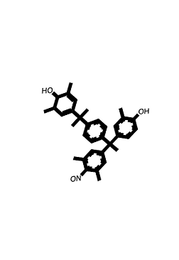 CC1=CC(C(C)(C)c2ccc(C(C)(c3ccc(O)c(C)c3)c3cc(C)c(N=O)c(C)c3)cc2)=CC(C)C1O